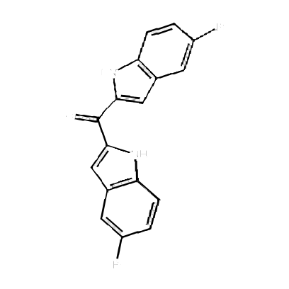 O=C(c1cc2cc(Br)ccc2[nH]1)c1cc2cc(Br)ccc2[nH]1